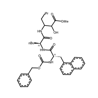 CCCC[C@H](NC(=O)[C@H](Cc1cccc2ccccc12)NC(=O)OCc1ccccc1)C(=O)NC(CC(C)C)C(O)C(=O)OC